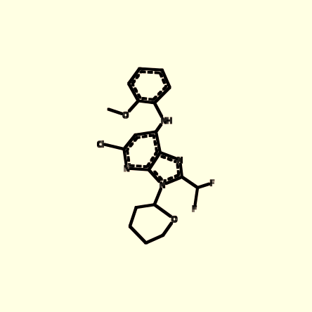 COc1ccccc1Nc1cc(Cl)nc2c1nc(C(F)F)n2C1CCCCO1